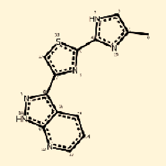 Cc1c[nH]c(-c2nc(-c3n[nH]c4ncccc34)cs2)n1